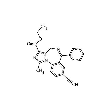 C#Cc1ccc2c(c1)C(c1ccccc1)=NCc1c(C(=O)OCC(F)(F)F)nc(C)n1-2